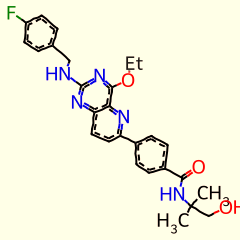 CCOc1nc(NCc2ccc(F)cc2)nc2ccc(-c3ccc(C(=O)NC(C)(C)CO)cc3)nc12